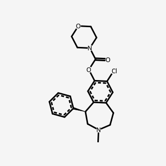 CN1CCc2cc(Cl)c(OC(=O)N3CCOCC3)cc2[C@H](c2ccccc2)C1